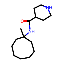 CC1(NC(=O)C2CCNCC2)CCCCCCC1